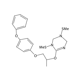 CSN1CN=C(OC(C)COc2ccc(Oc3ccccc3)cc2)N(SC)C1